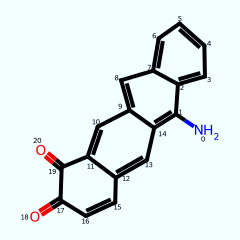 Nc1c2ccccc2cc2cc3c(cc12)C=CC(=O)C3=O